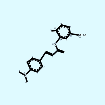 C=C(/C=C/c1ccc(N(C)C)cc1)Sc1cc(NC(C)=O)ccc1C